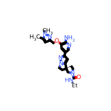 CCNC(=O)N1CC[C@@]2(CCn3nc(-c4cnc(N)c(OCc5cc(C)n(C)n5)c4)cc32)C1